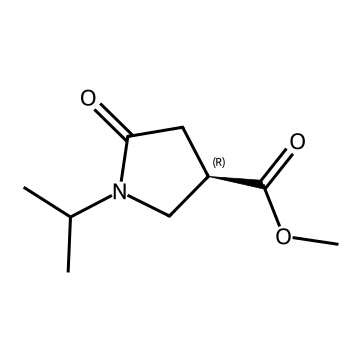 COC(=O)[C@@H]1CC(=O)N(C(C)C)C1